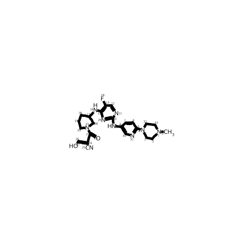 CN1CCN(c2ccc(Nc3ncc(F)c(NC4CCCN(C(=O)C(C#N)=CO)C4)n3)cn2)CC1